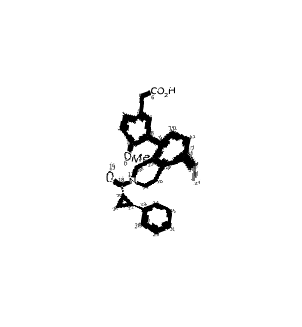 COc1ccc(CC(=O)O)cc1-c1ccc(F)c2c1CN(C(=O)[C@H]1C[C@@H]1c1ccccc1)CC2